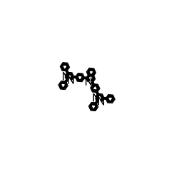 c1ccc(-c2cc(-c3ccc(-c4cc5ccccc5c(-c5ccc(-c6cc(-c7ccccc7)nc(-c7ccccc7)n6)cc5)n4)cc3)nc(-c3ccccc3)n2)cc1